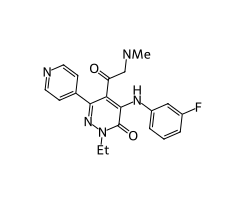 CCn1nc(-c2ccncc2)c(C(=O)CNC)c(Nc2cccc(F)c2)c1=O